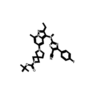 CCc1nn2c(C)cc(N3CCC4(CN(C(=O)OC(C)(C)C)C4)C3)cc2c1N(C)c1nc(-c2ccc(F)cc2)c(C#N)s1